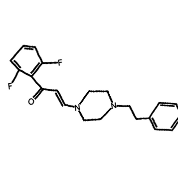 O=C(C=CN1CCN(CCc2ccccc2)CC1)c1c(F)cccc1F